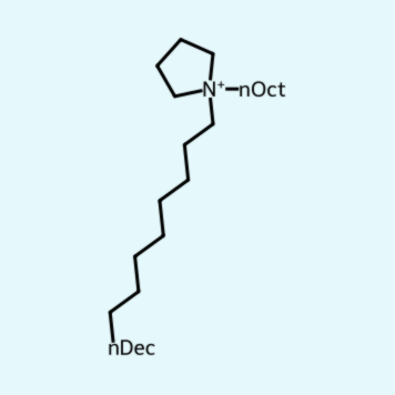 CCCCCCCCCCCCCCCCCC[N+]1(CCCCCCCC)CCCC1